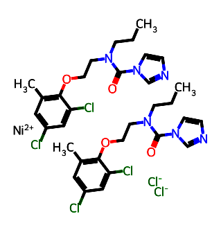 CCCN(CCOc1c(C)cc(Cl)cc1Cl)C(=O)n1ccnc1.CCCN(CCOc1c(C)cc(Cl)cc1Cl)C(=O)n1ccnc1.[Cl-].[Cl-].[Ni+2]